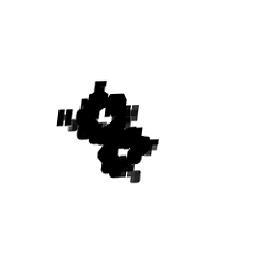 CO[C@H]1CN(C)C(=O)[C@@H]2C[C@@H](CN2c2nc3nc4c2cnn4-c2ccc(F)cc2OCCN(C)C(=O)[C@@H]2CCCN32)Nc2cccc(n2)-c2cc(F)cc3nc(C)n(c23)C1